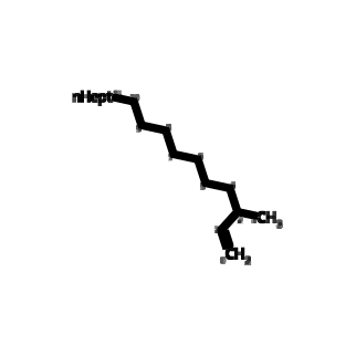 C=CC(C)CCCCCCCCCCCCCC